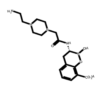 NCCN1CCN(CC(=O)N[C@H]2Cc3cccc(C(=O)O)c3OB2O)CC1